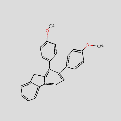 N#COc1ccc(-c2ccc3c(c2-c2ccc(OC#N)cc2)Cc2ccccc2-3)cc1